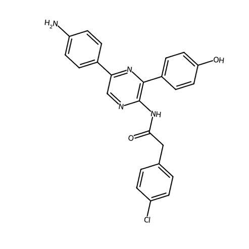 Nc1ccc(-c2cnc(NC(=O)Cc3ccc(Cl)cc3)c(-c3ccc(O)cc3)n2)cc1